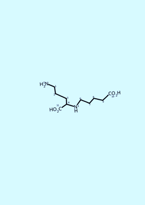 NCCCC(NCCCCC(=O)O)C(=O)O